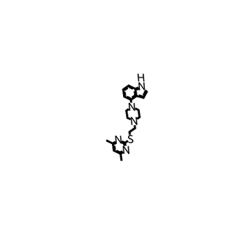 Cc1cc(C)nc(SCCN2CCN(c3cccc4[nH]ccc34)CC2)n1